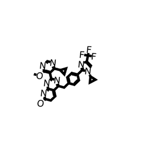 COc1ncnc(C2CC2)c1-c1nc(Cc2ccc(-c3nc(C(F)(F)F)cn3C3CC3)cc2)c2c(n1)=NC(=O)CC=2